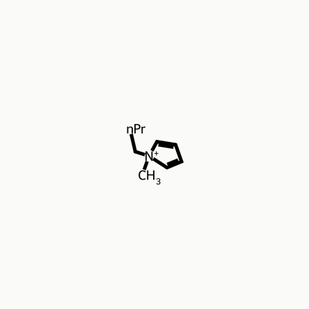 CCCC[N+]1(C)C=CC=C1